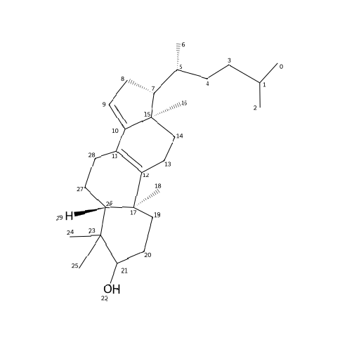 CC(C)CC[C@@H](C)[C@H]1CC=C2C3=C(CC[C@@]21C)[C@@]1(C)CCC(O)C(C)(C)[C@@H]1CC3